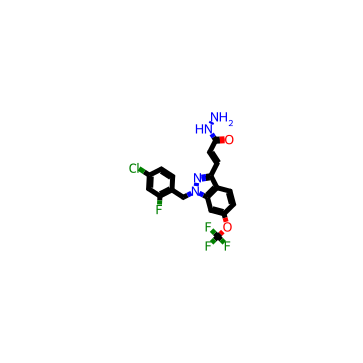 NNC(=O)/C=C/c1nn(Cc2ccc(Cl)cc2F)c2cc(OC(F)(F)F)ccc12